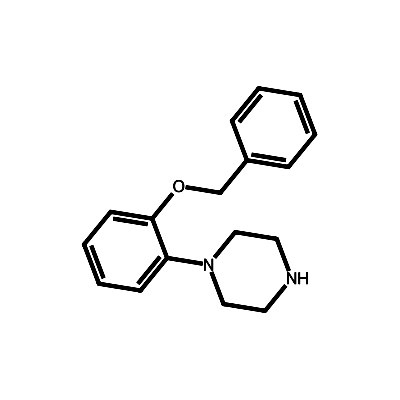 c1ccc(COc2ccccc2N2CCNCC2)cc1